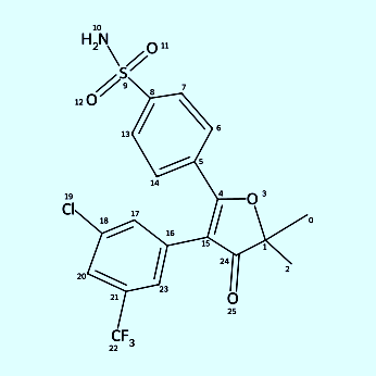 CC1(C)OC(c2ccc(S(N)(=O)=O)cc2)=C(c2cc(Cl)cc(C(F)(F)F)c2)C1=O